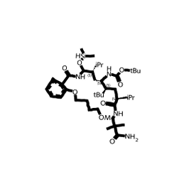 COCCCCOc1ccccc1C(=O)NC(O[SiH](C)C)[C@@H](C[C@H](NC(=O)OC(C)(C)C)[C@@H](C[C@H](C(=O)NCC(C)(C)C(N)=O)C(C)C)C(C)(C)C)C(C)C